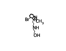 Cn1nc2cccc(Br)c2c1CCCNCCCO